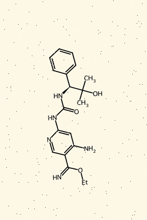 CCOC(=N)c1cnc(NC(=O)N[C@@H](c2ccccc2)C(C)(C)O)cc1N